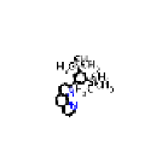 C[Si](C)(C)c1cc(-c2ccc3ccc4cccnc4c3n2)cc([Si](C)(C)C)c1